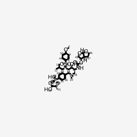 COc1ccc(S(=O)(=O)N(CC(C)C)C[C@@H](O)[C@H](CN(C)Cc2ccc(P(=O)(O)O[C@@H](C)C(=O)O)cc2)NC(=O)O[C@H]2CO[C@H]3OCC[C@H]32)cc1